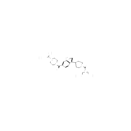 CCN(CC)C(=O)N1CCC(c2c[nH]c3cc(C(=O)N4CCN(C(C)C)CC4)ccc23)CC1